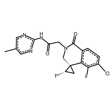 Cc1cnc(NC(=O)CN2C[C@@]3(C[C@@H]3F)c3c(ccc(Cl)c3F)C2=O)nc1